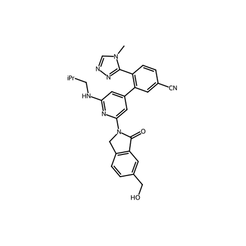 CC(C)CNc1cc(-c2cc(C#N)ccc2-c2nncn2C)cc(N2Cc3ccc(CO)cc3C2=O)n1